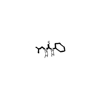 CC(C)CNC(=S)NC1CCCCC1